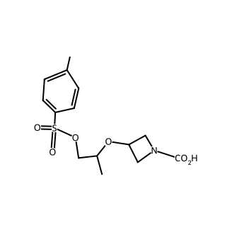 Cc1ccc(S(=O)(=O)OCC(C)OC2CN(C(=O)O)C2)cc1